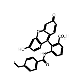 O=C(Nc1cccc(C(=O)O)c1-c1c2ccc(=O)cc-2oc2cc(O)ccc12)c1ccc(CI)cc1